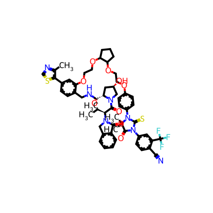 Cc1ncsc1-c1ccc(CNC(=O)[C@@H]2C[C@@H](O)CN2C(=O)[C@H](C(C)C)N2Cc3ccccc3C2=O)c(OCCOC2CCCC2OCCOc2ccc(N3C(=S)N(c4ccc(C#N)c(C(F)(F)F)c4)C(=O)C3(C)C)cc2)c1